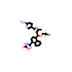 CCC(F)(F)COC(c1sc(-c2ccc(C(F)(F)F)nc2)nc1C)c1ccc(-c2noc(=O)[nH]2)c2ccccc12